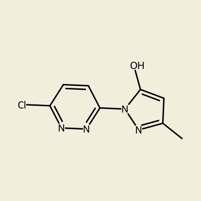 Cc1cc(O)n(-c2ccc(Cl)nn2)n1